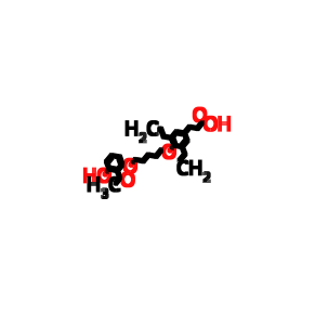 C=CCc1cc(CCC(=O)O)cc(CC=C)c1OCCCCCOc1cccc(O)c1C(C)=O